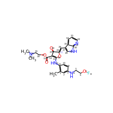 Cc1cc(NCCOF)ccc1NC1=C(C(=O)OCCN(C)C)C(=O)/C(=C/c2c[nH]c3ncccc23)O1